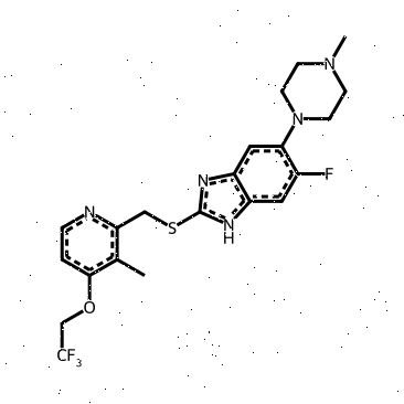 Cc1c(OCC(F)(F)F)ccnc1CSc1nc2cc(N3CCN(C)CC3)c(F)cc2[nH]1